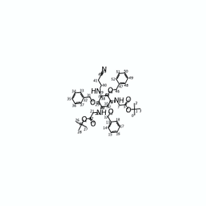 CC(C)(C)OC(=O)CN[C@@H]1[C@H](OCc2ccccc2)[C@H](NCC(=O)OC(C)(C)C)[C@H](OCc2ccccc2)[C@H](NCCC#N)[C@@H]1OCc1ccccc1